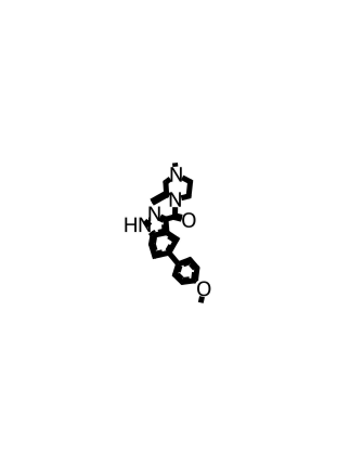 C=C1CN(C)CCN1C(=O)c1n[nH]c2ccc(-c3ccc(OC)cc3)cc12